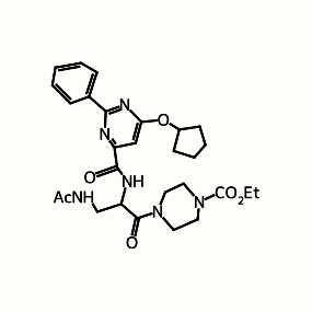 CCOC(=O)N1CCN(C(=O)C(CNC(C)=O)NC(=O)c2cc(OC3CCCC3)nc(-c3ccccc3)n2)CC1